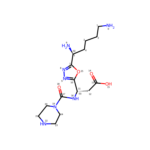 NCCCC[C@H](N)c1nnc([C@H](CC(=O)O)NC(=O)N2CCNCC2)o1